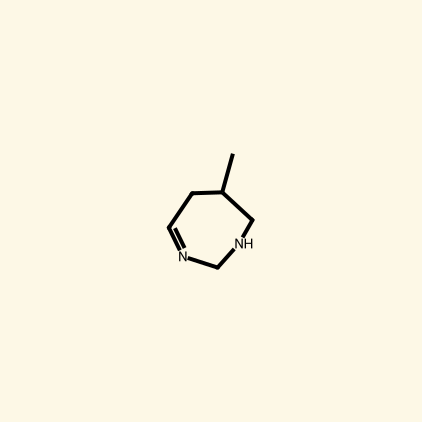 CC1CC=NCNC1